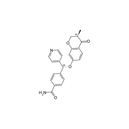 C[C@@H]1COc2cc(O[C@@H](c3ccncc3)c3ccc(C(N)=O)cc3)ccc2C1=O